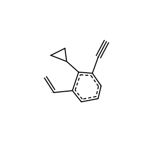 C#Cc1cccc([C]=C)c1C1CC1